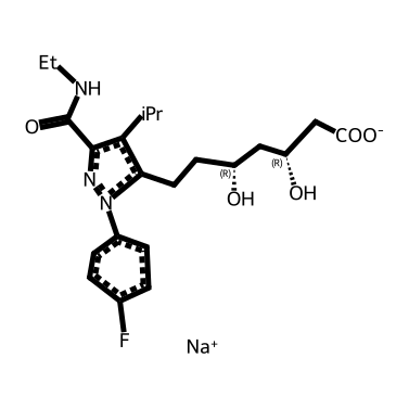 CCNC(=O)c1nn(-c2ccc(F)cc2)c(CC[C@@H](O)C[C@@H](O)CC(=O)[O-])c1C(C)C.[Na+]